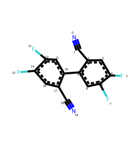 N#Cc1cc(F)c(F)cc1-c1cc(F)c(F)cc1C#N